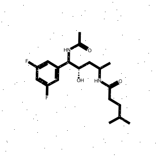 CC(=O)NC(c1cc(F)cc(F)c1)[C@@H](O)CC(C)NC(=O)CCC(C)C